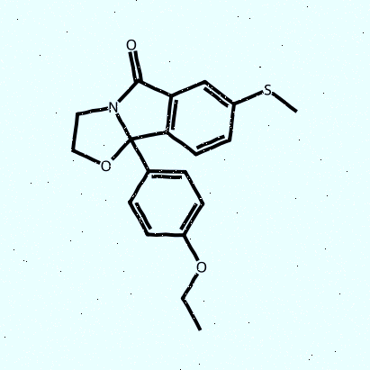 CCOc1ccc(C23OCCN2C(=O)c2cc(SC)ccc23)cc1